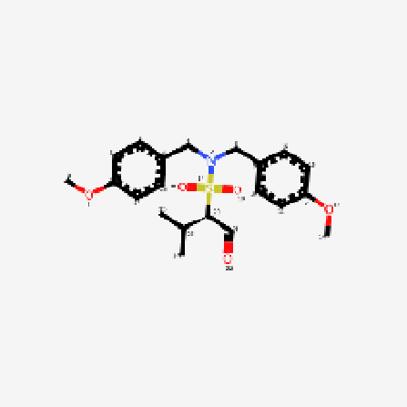 COc1ccc(CN(Cc2ccc(OC)cc2)S(=O)(=O)[C@@H](C=O)C(C)C)cc1